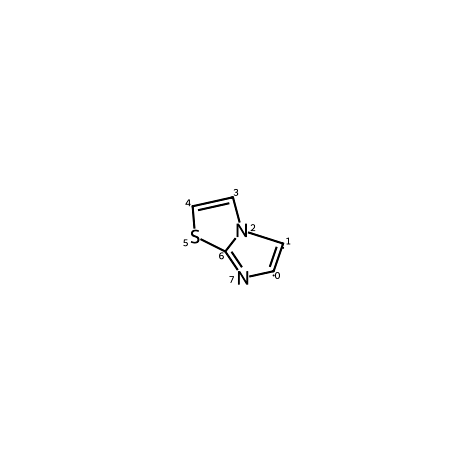 [c]1[c]n2ccsc2n1